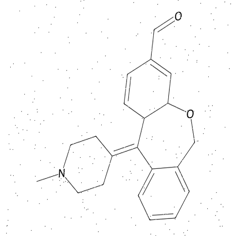 CN1CCC(=C2c3ccccc3COC3C=C(C=O)C=CC23)CC1